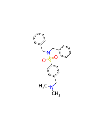 CN(C)Cc1ccc(S(=O)(=O)N(Cc2ccccc2)Cc2ccccc2)cc1